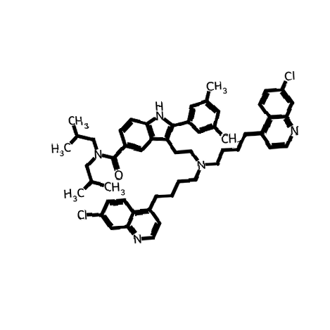 Cc1cc(C)cc(-c2[nH]c3ccc(C(=O)N(CC(C)C)CC(C)C)cc3c2CCN(CCCCc2ccnc3cc(Cl)ccc23)CCCCc2ccnc3cc(Cl)ccc23)c1